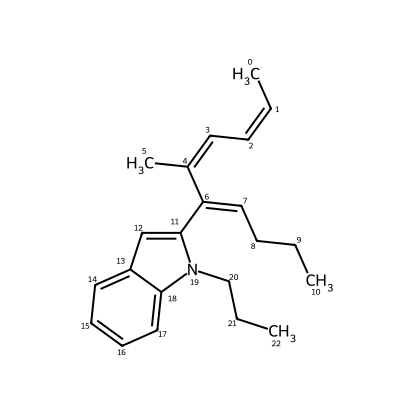 C\C=C/C=C(C)\C(=C\CCC)c1cc2ccccc2n1CCC